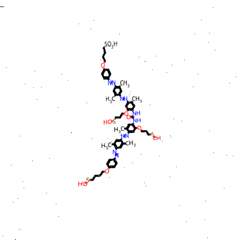 Cc1cc(N=Nc2cc(OCCCSO)c(NC(=O)Nc3cc(C)c(N=Nc4cc(C)c(N=Nc5ccc(OCCCCS(=O)(=O)O)cc5)cc4C)cc3OCCCSO)cc2C)c(C)cc1N=Nc1ccc(OCCCCSO)cc1